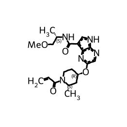 C=CC(=O)N1CC[C@@H](Oc2cnc3[nH]cc(C(=O)N[C@@H](C)COC)c3n2)C[C@@H]1C